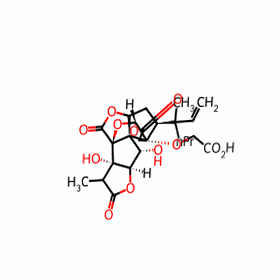 C=CC(C)(CCC)[C@@H]1CC2OC(=O)[C@]34O[C@H]5OC(=O)[C@@H](OCC(=O)O)C51[C@@]23[C@H](O)[C@H]1OC(=O)C(C)[C@]14O